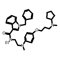 CCN(CCN(C)c1ccc(OCCCN(C)C2CCCC2)cc1)C(=O)c1cn(Cc2ccccc2)c2ccccc12